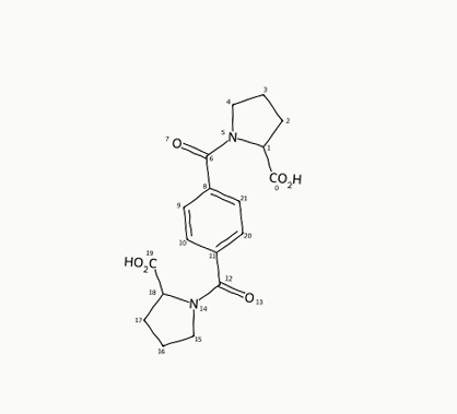 O=C(O)C1CCCN1C(=O)c1ccc(C(=O)N2CCCC2C(=O)O)cc1